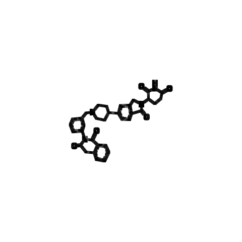 O=C1CCC(N2Cc3cc(C4CCN(Cc5cccc(N6C(=O)Cc7ccccc7C6=O)c5)CC4)ccc3C2=O)C(=O)N1